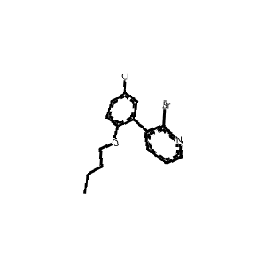 CCCCOc1ccc(Cl)cc1-c1cccnc1Br